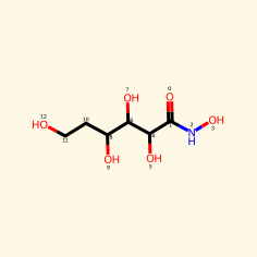 O=C(NO)C(O)C(O)C(O)CCO